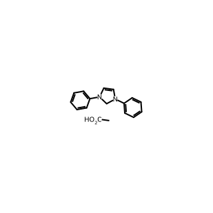 C1=CN(c2ccccc2)CN1c1ccccc1.CC(=O)O